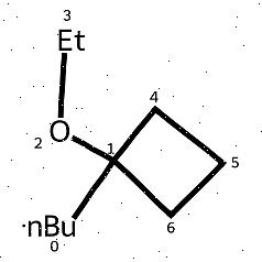 CCC[CH]C1(OCC)CCC1